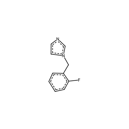 Fc1ccccc1Cn1ccnc1